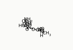 CC(CO)NC(=O)COCCOCCNC(=O)C(CO)NC(=O)NC(N)=O